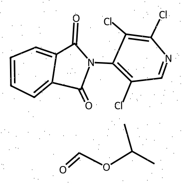 CC(C)OC=O.O=C1c2ccccc2C(=O)N1c1c(Cl)cnc(Cl)c1Cl